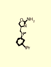 CC(C)c1cccc(N(C)C[C@H]2COC(N)=N2)c1